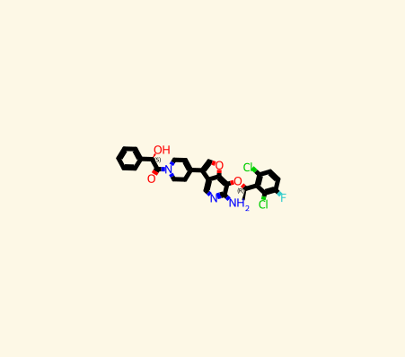 C[C@@H](Oc1c(N)ncc2c(C3=CCN(C(=O)[C@@H](O)c4ccccc4)CC3)coc12)c1c(Cl)ccc(F)c1Cl